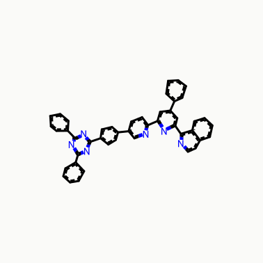 c1ccc(-c2cc(-c3ccc(-c4ccc(-c5nc(-c6ccccc6)nc(-c6ccccc6)n5)cc4)cn3)nc(-c3nccc4ccccc34)c2)cc1